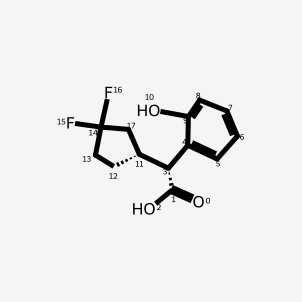 O=C(O)[C@@H](c1ccccc1O)[C@@H]1CCC(F)(F)C1